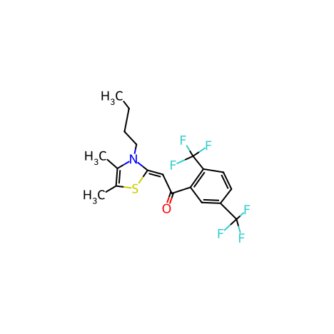 CCCCN1C(C)=C(C)S/C1=C\C(=O)c1cc(C(F)(F)F)ccc1C(F)(F)F